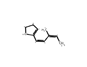 C/C=C(C)\C=C/C1=CCCO1